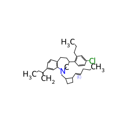 C=C(CC)c1ccc2c(c1)N(CC1CCC1/C=C/CCC)CC(c1ccc(Cl)cc1CCC)CC2